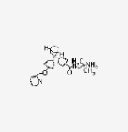 CC(C)(N)CNC(=O)c1ccc([C@]2(c3ccc(OCc4ccccn4)cc3)C[C@@H]3CC[C@H]2C3)cc1